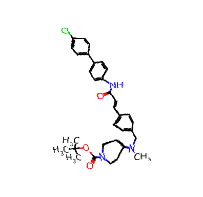 CN(Cc1ccc(/C=C/C(=O)Nc2ccc(-c3ccc(Cl)cc3)cc2)cc1)C1CCN(C(=O)OC(C)(C)C)CC1